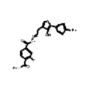 COC(=O)c1ccc(C(=O)NN=CCc2csc(-c3ccc(C(C)(C)C)cc3)c2O)cc1F